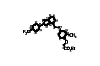 CCOC(=O)COc1ccc(SCc2cccc3nn(-c4ccc(C(F)(F)F)cc4)cc23)cc1C